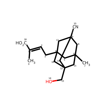 CC(=CCC12CC3(C)CC(C#N)(CC(CO)(C3)C1)C2)C(=O)O